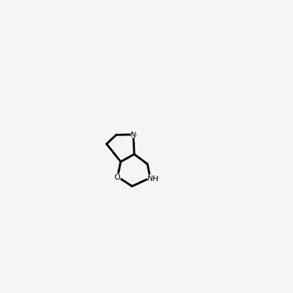 C1CC2OCNCC2[N]1